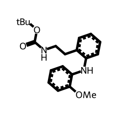 COc1ccccc1Nc1ccccc1CCNC(=O)OC(C)(C)C